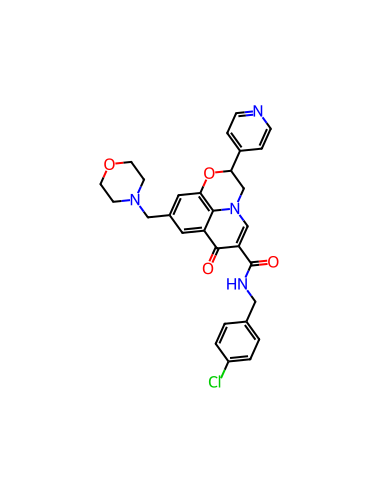 O=C(NCc1ccc(Cl)cc1)c1cn2c3c(cc(CN4CCOCC4)cc3c1=O)OC(c1ccncc1)C2